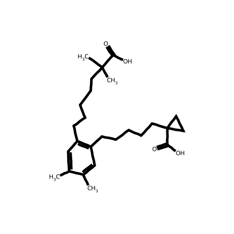 Cc1cc(CCCCCC(C)(C)C(=O)O)c(CCCCCC2(C(=O)O)CC2)cc1C